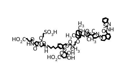 Cc1c(-c2ccc(N3CCc4cccc(C(=O)Nc5nc6ccccc6s5)c4C3)nc2C(=O)O)cnn1CC12CC3(C)CC(C)(C1)CC(OCCN(C)C(=O)OCc1ccc(CCCCNC(=O)CN4C(=O)[C@@H](NC(=O)CCC(=O)O)C[C@H]4COCCS(=O)(=O)O)cc1O[C@@H]1O[C@H](C(=O)O)C[C@H](O)[C@H]1O)(C3)C2